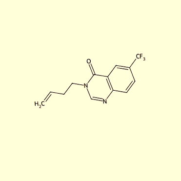 C=CCCn1cnc2ccc(C(F)(F)F)cc2c1=O